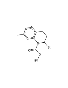 CCC1CCc2ncc(C)cc2N1C(=O)OC(C)C